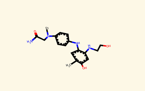 CCN(CC(N)=O)c1ccc(Nc2cc(C)c(O)cc2NCCO)cc1